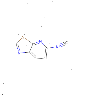 [C-]#[N+]c1ccc2ncsc2n1